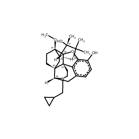 CO[C@]12CC[C@]3(C[C@@H]1[C@](C)(O)C(C)(C)C)[C@H]1Cc4ccc(O)c5c4[C@@]3(CCN1CC1CC1)[C@H]2O5